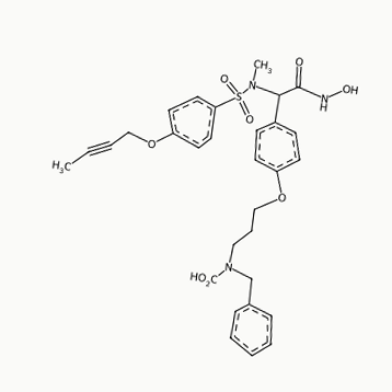 CC#CCOc1ccc(S(=O)(=O)N(C)C(C(=O)NO)c2ccc(OCCCN(Cc3ccccc3)C(=O)O)cc2)cc1